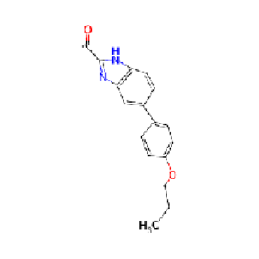 CCCOc1ccc(-c2ccc3[nH]c([C]=O)nc3c2)cc1